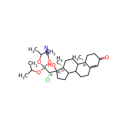 CC(C)O[Si](OC#N)(OC(C)C)[C@@H](Cl)[C@@]1(O)CCC2C3CCC4=CC(=O)CC[C@]4(C)C3CC[C@@]21C